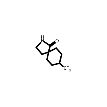 O=C1NCCC12CCC(C(F)(F)F)CC2